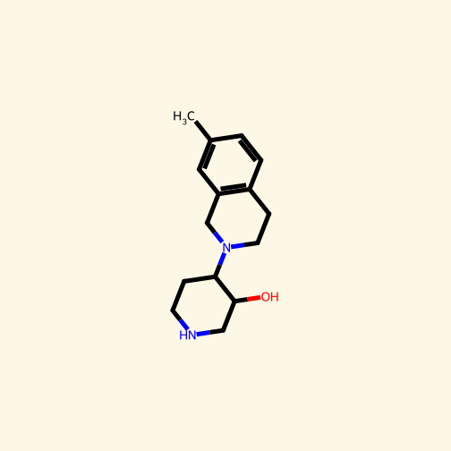 Cc1ccc2c(c1)CN(C1CCNCC1O)CC2